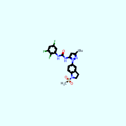 CC(C)(C)c1cc(NC(=O)Nc2cc(F)cc(F)c2F)n(-c2ccc3c(c2)CCN3S(C)(=O)=O)n1